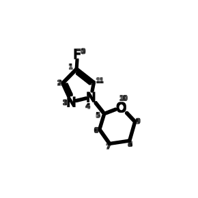 Fc1cnn(C2CCCCO2)c1